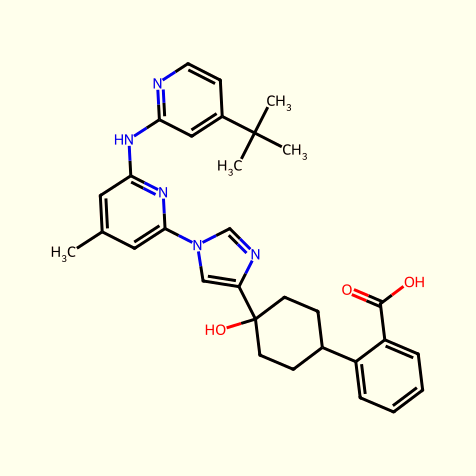 Cc1cc(Nc2cc(C(C)(C)C)ccn2)nc(-n2cnc(C3(O)CCC(c4ccccc4C(=O)O)CC3)c2)c1